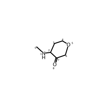 CNC1CCOCC1=O